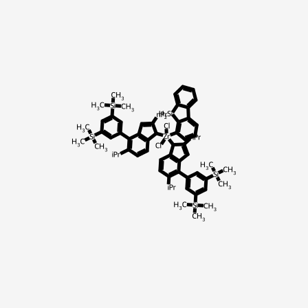 CCCC1=Cc2c(ccc(C(C)C)c2-c2cc([Si](C)(C)C)cc([Si](C)(C)C)c2)[CH]1[Zr]([Cl])([Cl])([c]1cccc2c1[SiH2]c1ccccc1-2)[CH]1C(CCC)=Cc2c1ccc(C(C)C)c2-c1cc([Si](C)(C)C)cc([Si](C)(C)C)c1